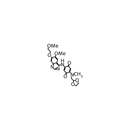 COCCOc1cc2ncnc(NC3=CC(=O)C(N(C)CC4OCCO4)=CC3=O)c2cc1OC